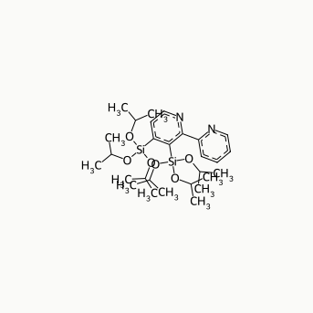 CC(C)O[Si](OC(C)C)(OC(C)C)c1ccnc(-c2ccccn2)c1[Si](OC(C)C)(OC(C)C)OC(C)C